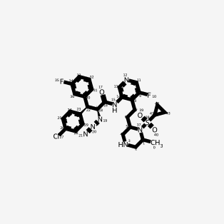 CC1CNCC(CCc2c(F)cncc2NC(=O)[C@@H](N=[N+]=[N-])[C@@H](c2ccc(Cl)cc2)c2cccc(F)c2)N1S(=O)(=O)C1CC1